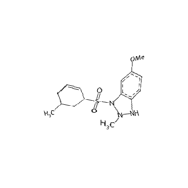 COc1ccc2c(c1)N(S(=O)(=O)C1C=CCC(C)C1)N(C)N2